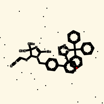 CCCCC1=NC(C=O)(OC)C(SC=C=O)N1Cc1ccc(-c2ccccc2-c2nnnn2C(c2ccccc2)(c2ccccc2)c2ccccc2)cc1